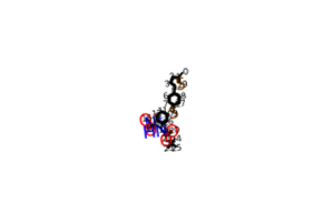 Cc1ccc(-c2ccc(Sc3ccc([N+](=O)[O-])c(NC(=O)OC(C)(C)C)c3)cc2)s1